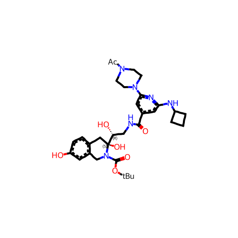 CC(=O)N1CCN(c2cc(C(=O)NC[C@@H](O)[C@@]3(O)Cc4ccc(O)cc4CN3C(=O)OC(C)(C)C)cc(NC3CCC3)n2)CC1